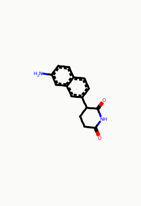 Nc1ccc2ccc(C3CCC(=O)NC3=O)cc2c1